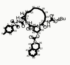 Cc1ccc(S(=O)(=O)NC(=O)[C@@]23C[C@H]2/C=C/CCCCC[C@H](NC(=O)OC(C)(C)C)C(=O)N2C[C@H](OC(=O)N4CCc5ccccc5C4)C[C@H]2C(=O)N3)cc1